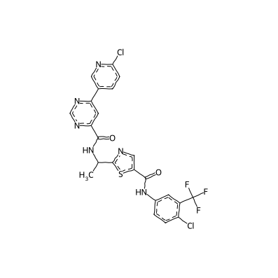 CC(NC(=O)c1cc(-c2ccc(Cl)nc2)ncn1)c1ncc(C(=O)Nc2ccc(Cl)c(C(F)(F)F)c2)s1